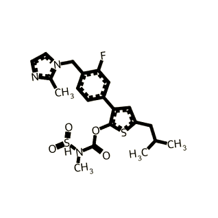 Cc1nccn1Cc1ccc(-c2cc(CC(C)C)sc2OC(=O)N(C)[SH](=O)=O)cc1F